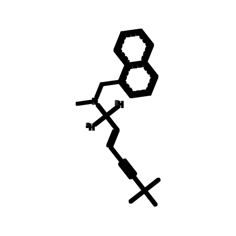 [2H]C([2H])(/C=C/C#CC(C)(C)C)N(C)Cc1cccc2ccccc12